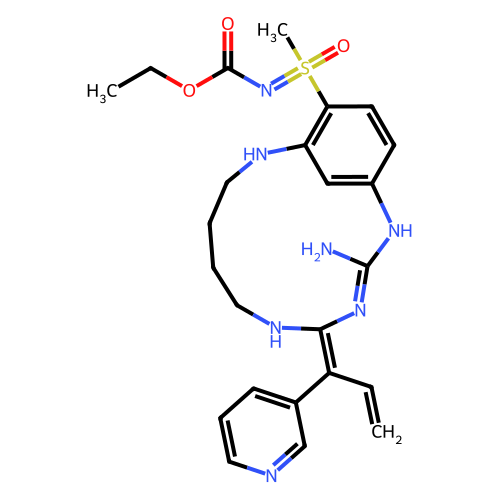 C=C/C(=C1\N=C(/N)Nc2ccc(S(C)(=O)=NC(=O)OCC)c(c2)NCCCCN1)c1cccnc1